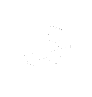 CC1(c2ccccc2)CN(C2=CC(=O)NC2)CCO1